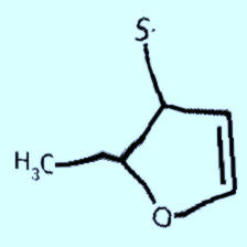 CC1OC=CC1[S]